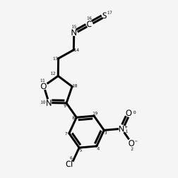 O=[N+]([O-])c1cc(Cl)cc(C2=NOC(CCN=C=S)C2)c1